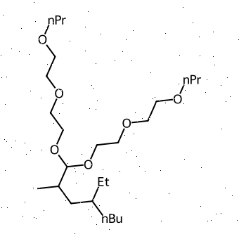 CCCCC(CC)CC(C)C(OCCOCCOCCC)OCCOCCOCCC